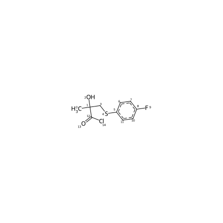 CC(O)(CSc1ccc(F)cc1)C(=O)Cl